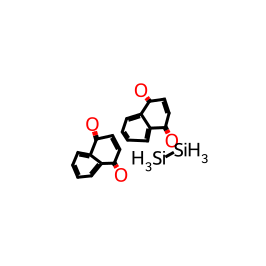 O=C1C=CC(=O)c2ccccc21.O=C1C=CC(=O)c2ccccc21.[SiH3][SiH3]